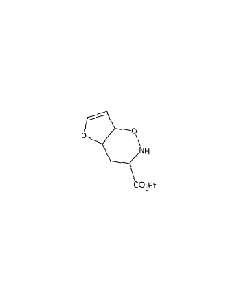 CCOC(=O)[C]1CC2OC=CC2ON1